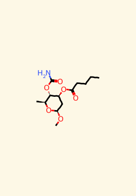 CCCCC(=O)O[C@H]1C[C@@H](OC)O[C@@H](C)[C@@H]1OC(N)=O